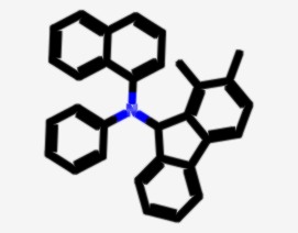 Cc1ccc2c(c1C)C(N(c1ccccc1)c1cccc3ccccc13)c1ccccc1-2